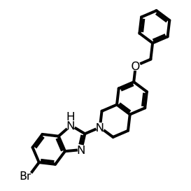 Brc1ccc2[nH]c(N3CCc4ccc(OCc5ccccc5)cc4C3)nc2c1